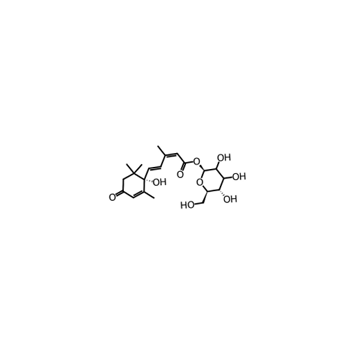 CC1=CC(=O)CC(C)(C)[C@@]1(O)/C=C/C(C)=C\C(=O)O[C@@H]1O[C@H](CO)[C@@H](O)C(O)C1O